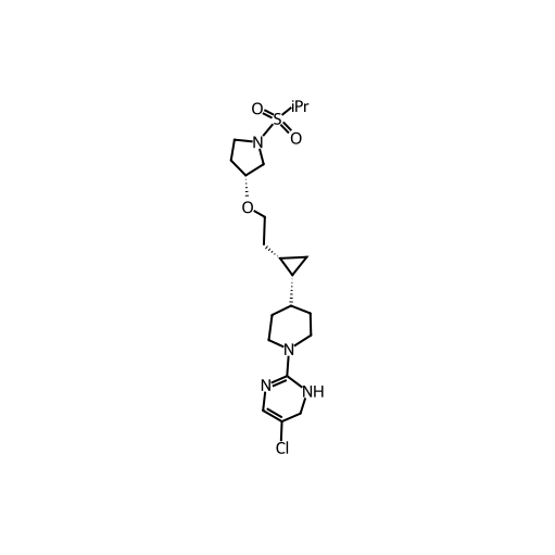 CC(C)S(=O)(=O)N1CC[C@@H](OCC[C@@H]2C[C@@H]2C2CCN(C3=NC=C(Cl)CN3)CC2)C1